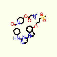 CN(C)CC(=O)OC1CCN(C(=O)[C@H]2CC[C@H](Nc3nccc(-n4ccc5c(OCCCS(C)(=O)=O)cccc54)n3)CC2)CC1